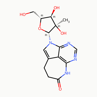 C[C@@]1(O)[C@H](O)[C@@H](CO)O[C@H]1n1cc2c3c(ncnc31)NC(=O)CC2